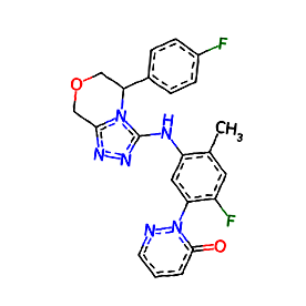 Cc1cc(F)c(-n2ncccc2=O)cc1Nc1nnc2n1C(c1ccc(F)cc1)COC2